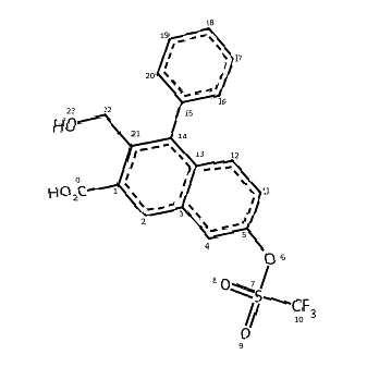 O=C(O)c1cc2cc(OS(=O)(=O)C(F)(F)F)ccc2c(-c2ccccc2)c1CO